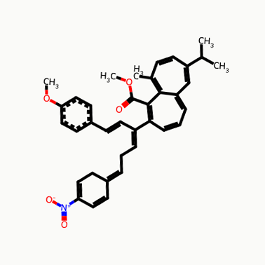 COC(=O)C1=C(/C(C=Cc2ccc(OC)cc2)=C/C/C=C2/C=CC([N+](=O)[O-])=CC2)C=CC=C2C=C(C(C)C)C=CC(C)=C21